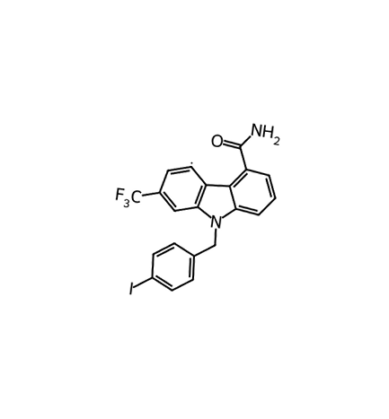 NC(=O)c1cccc2c1c1[c]cc(C(F)(F)F)cc1n2Cc1ccc(I)cc1